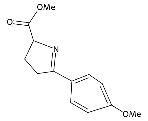 COC(=O)C1CCC(c2ccc(OC)cc2)=N1